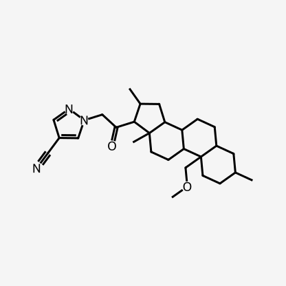 COCC12CCC(C)CC1CCC1C3CC(C)C(C(=O)Cn4cc(C#N)cn4)C3(C)CCC12